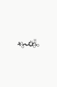 CC(C)(C)OC(=O)C=Cc1cnc2[nH]c(=O)oc2c1